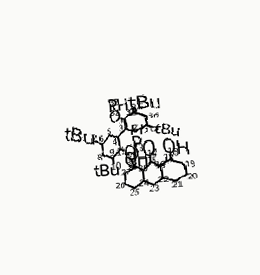 CC(C)(C)C1CC(C2CC(C(C)(C)C)CC(C(C)(C)C)C2OPOC2C3C(O)CCCC3CC3CCCC(O)C32)=C(OP)C(C(C)(C)C)C1